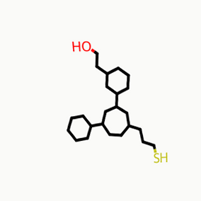 OCCC1CCCC(C2CC(CCCS)CCC(C3CCCCC3)C2)C1